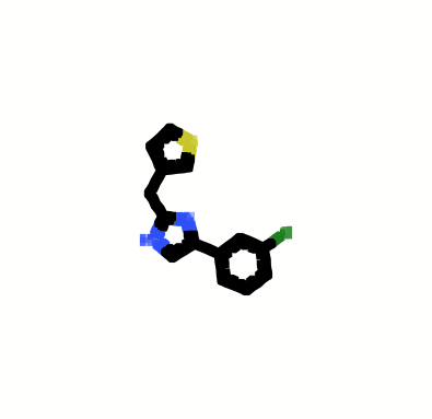 Clc1cccc(-c2c[nH]c(Cc3ccsc3)n2)c1